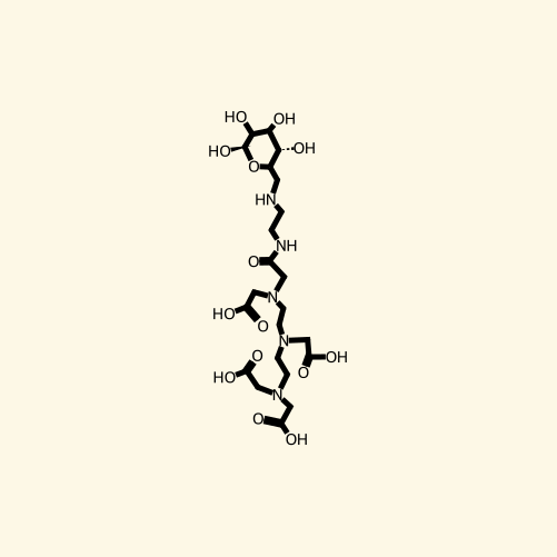 O=C(O)CN(CCN(CC(=O)O)CC(=O)O)CCN(CC(=O)O)CC(=O)NCCNCC1O[C@@H](O)C(O)C(O)[C@@H]1O